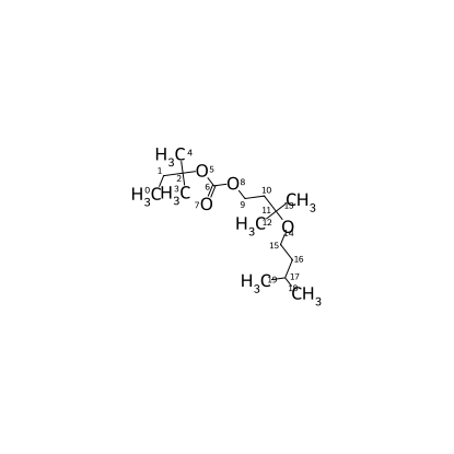 CCC(C)(C)OC(=O)OCCC(C)(C)OCCC(C)C